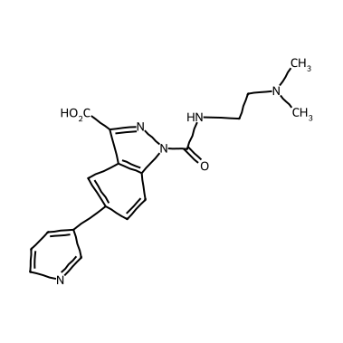 CN(C)CCNC(=O)n1nc(C(=O)O)c2cc(-c3cccnc3)ccc21